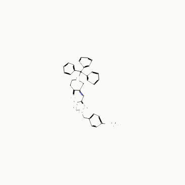 COc1ccc(Cn2nnc(/C=C3/CN(C(c4ccccc4)(c4ccccc4)c4ccccc4)CCC3=O)n2)cc1